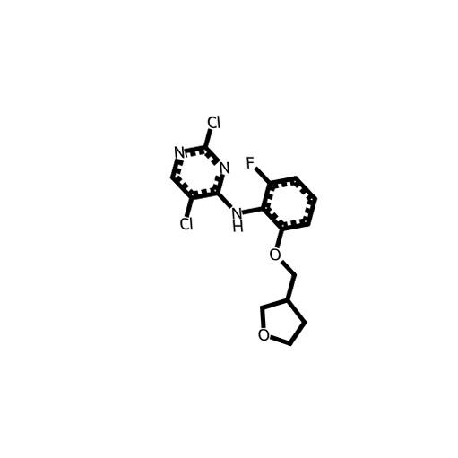 Fc1cccc(OCC2CCOC2)c1Nc1nc(Cl)ncc1Cl